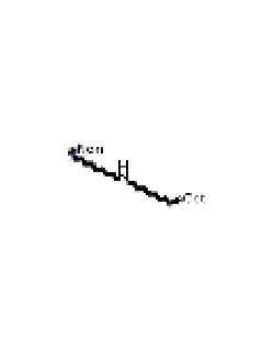 CCCCCCCC/C=C\CCCCCCCCNCCCCCCCC/C=C\CCCCCCCCC